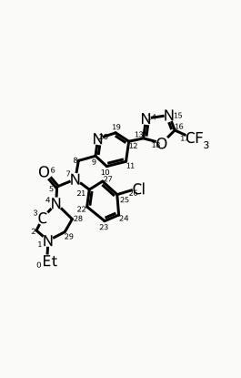 CCN1CCN(C(=O)N(Cc2ccc(-c3nnc(C(F)(F)F)o3)cn2)c2cccc(Cl)c2)CC1